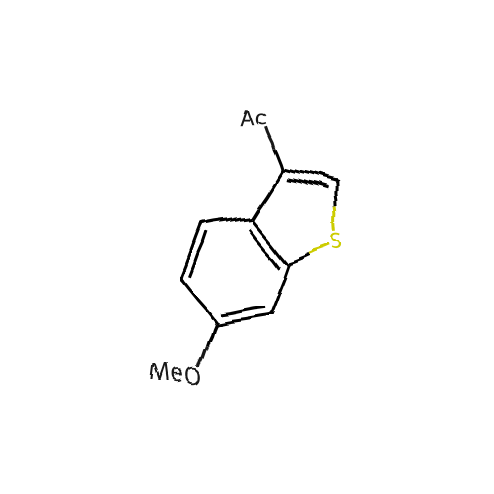 COc1ccc2c(C(C)=O)csc2c1